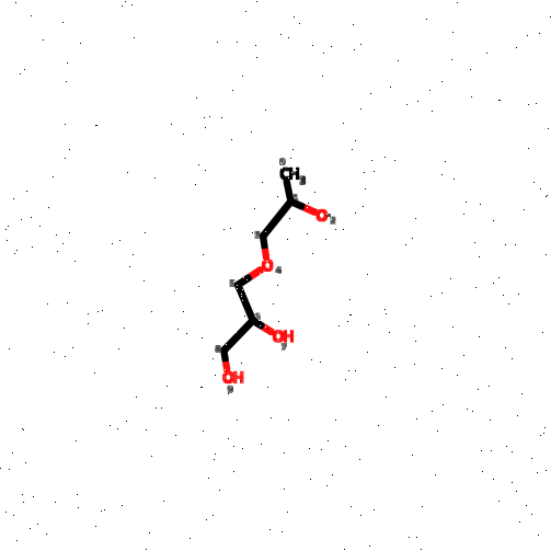 CC([O])COCC(O)CO